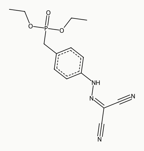 CCOP(=O)(Cc1ccc(NN=C(C#N)C#N)cc1)OCC